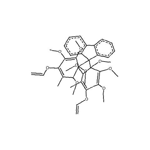 C=COC1=C(C)C(OC)C(OC)(C2(C3(OC)C(OC)=C(OC)C(OC=C)=C(C)C3OC)c3ccccc3-c3ccccc32)C(OC)=C1OC